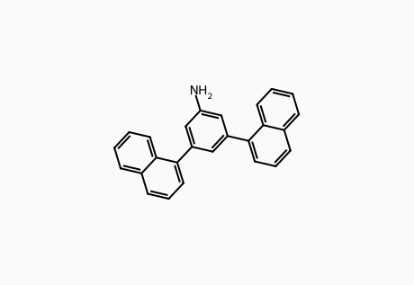 Nc1cc(-c2cccc3ccccc23)cc(-c2cccc3ccccc23)c1